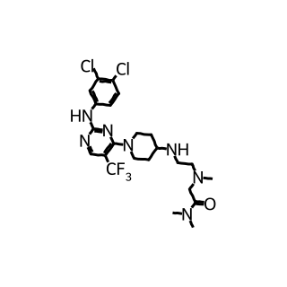 CN(CCNC1CCN(c2nc(Nc3ccc(Cl)c(Cl)c3)ncc2C(F)(F)F)CC1)CC(=O)N(C)C